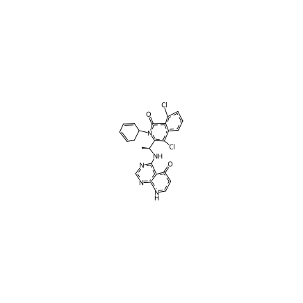 C[C@H](Nc1ncnc2[nH]ccc(=O)c12)c1c(Cl)c2cccc(Cl)c2c(=O)n1C1C=CC=CC1